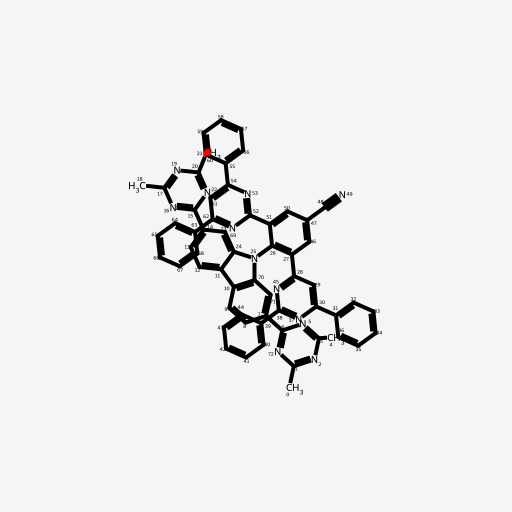 Cc1nc(C)nc(-c2ccc3c4ccc(-c5nc(C)nc(C)n5)cc4n(-c4c(-c5cc(-c6ccccc6)nc(-c6ccccc6)n5)cc(C#N)cc4-c4nc(-c5ccccc5)cc(-c5ccccc5)n4)c3c2)n1